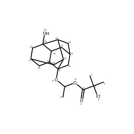 CCC(C)(C)C(=O)OC(C)OC12CC3CC4C1CC1CC2C(C3)C4(O)C1